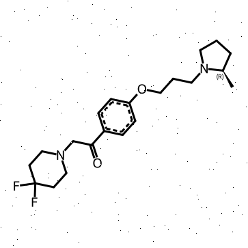 C[C@@H]1CCCN1CCCOc1ccc(C(=O)CN2CCC(F)(F)CC2)cc1